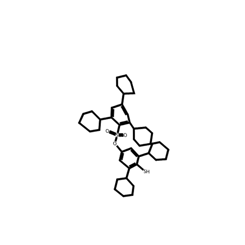 O=S(=O)(Oc1cc(C2CCCCC2)c(S)c(C2CCCCC2)c1)c1c(C2CCCCC2)cc(C2CCCCC2)cc1C1CCCCC1